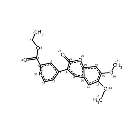 CCOC(=O)c1cc(-c2cc3cc(OC)c(OC)cc3oc2=O)ccn1